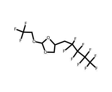 FC(F)(F)COC1OCC(CC(F)(F)C(F)(F)C(F)(F)C(F)(F)F)O1